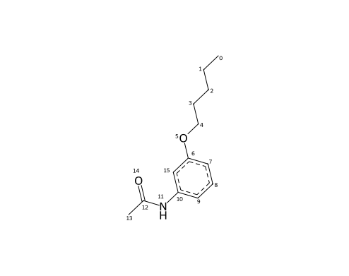 CCCCCOc1cccc(NC(C)=O)c1